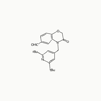 CC(C)(C)c1cc(CN2C(=O)COc3ccc(C=O)cc32)cc(C(C)(C)C)n1